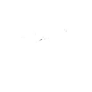 O=[N+]([O-])[C@]1(Cl)[C@@H](O)c2ccccc2O[C@H]1c1cccc(N(O)O)c1